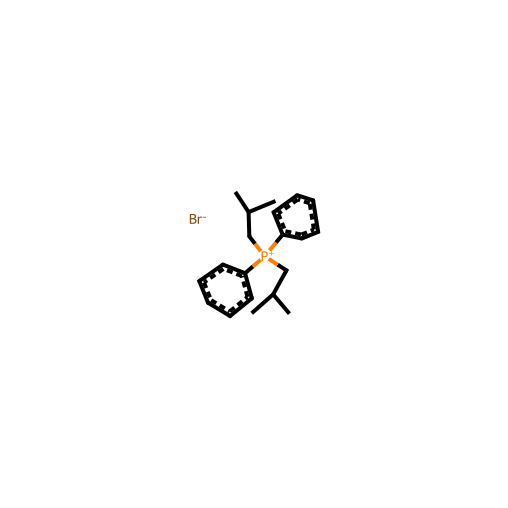 CC(C)C[P+](CC(C)C)(c1ccccc1)c1ccccc1.[Br-]